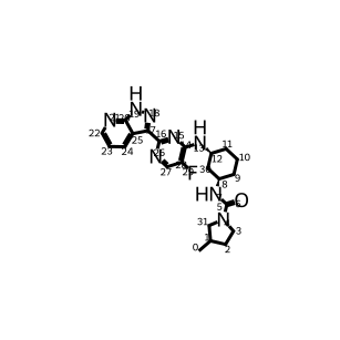 CC1CCN(C(=O)N[C@@H]2CCC[C@H](Nc3nc(-c4n[nH]c5ncccc45)ncc3F)C2)C1